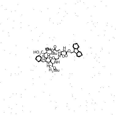 C[C@@H](OC(C)(C)C)[C@H](NC(=O)[C@H](Cc1ccccc1)NC(=O)[C@@H](NC(=O)CNC(=O)[C@H](CCC(=O)OC(C)(C)C)NC(=O)OCC1c2ccccc2-c2ccccc21)[C@@H](C)OC(C)(C)C)C(=O)O